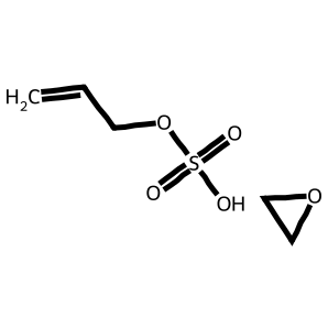 C1CO1.C=CCOS(=O)(=O)O